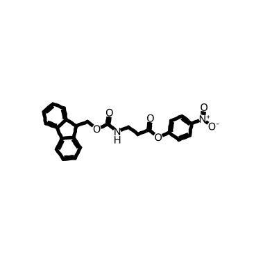 O=C(CCNC(=O)OCC1c2ccccc2-c2ccccc21)Oc1ccc([N+](=O)[O-])cc1